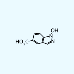 O=C(O)c1ccc2c(cnn2O)c1